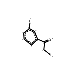 O=C(CI)c1cccc(F)c1